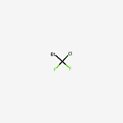 [CH2]CC(F)(F)Cl